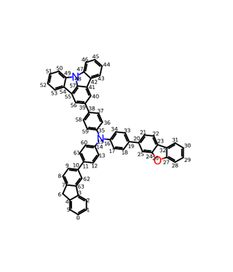 c1ccc2c(c1)Cc1ccc(-c3ccc(N(c4ccc(-c5ccc6c(c5)oc5ccccc56)cc4)c4ccc(-c5cc6c7ccccc7n7c8ccccc8c(c5)c67)cc4)cc3)cc1-2